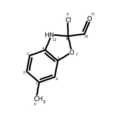 Cc1ccc2c(c1)OC(Cl)(C=O)N2